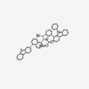 COC(=O)N1c2c(-c3cccc4c5ccccc5n(-c5ccccc5)c34)cccc2C(Br)C1c1cccc2c(-c3ccc4c(c3)sc3ccccc34)cccc12